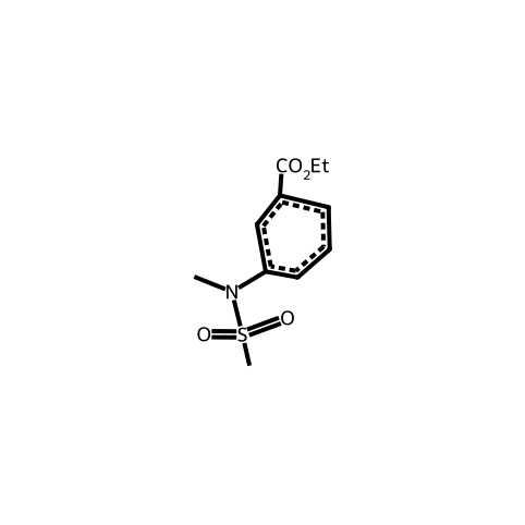 CCOC(=O)c1cccc(N(C)S(C)(=O)=O)c1